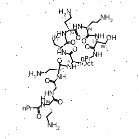 CCCCCCCC[C@@H](NC(=O)[C@H](CCN)NC(=O)CNC(=O)[C@H](CCN)NC(=O)CCC)C(=O)N[C@@H](CC(C)C)C(=O)N[C@@H](CCN)C(=O)N[C@@H](CCN)C(=O)N[C@H](C(=O)NCCC)[C@@H](C)O